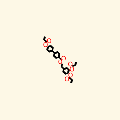 C=CC(=O)Oc1ccc(-c2ccc(C(=O)OCCc3ccc(OC(=O)C=C)c(OC(=O)C=C)c3)cc2)cc1